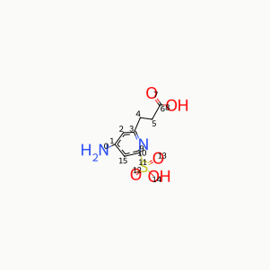 Nc1cc(CCC(=O)O)nc(S(=O)(=O)O)c1